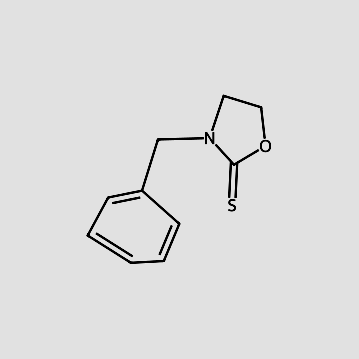 S=C1OCCN1Cc1ccccc1